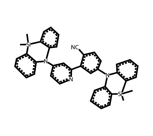 C[Si]1(C)c2ccccc2N(c2ccnc(-c3cc(N4c5ccccc5[Si](C)(C)c5ccccc54)ccc3C#N)c2)c2ccccc21